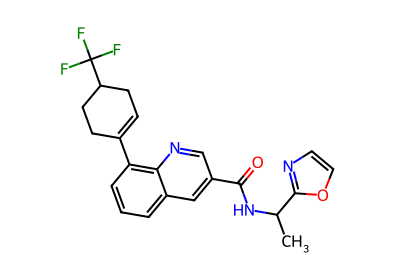 CC(NC(=O)c1cnc2c(C3=CCC(C(F)(F)F)CC3)cccc2c1)c1ncco1